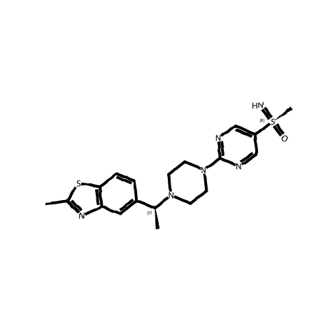 Cc1nc2cc([C@H](C)N3CCN(c4ncc([S@](C)(=N)=O)cn4)CC3)ccc2s1